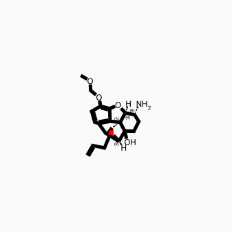 C=CCN1CC[C@]23c4c5ccc(OCOC)c4O[C@H]2[C@H](N)CCC3(O)[C@H]1C5